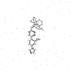 C[C@]12CCC[C@](C)(N1)[C@H](F)/C(=C/c1ncc(-c3ccc(-n4ccnc4)cc3O)nn1)C2